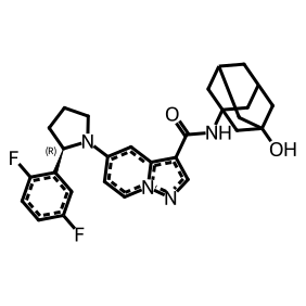 O=C(NC12CC3CC(CC(O)(C3)C1)C2)c1cnn2ccc(N3CCC[C@@H]3c3cc(F)ccc3F)cc12